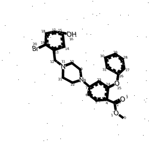 COC(=O)c1ccc(N2CCN(Cc3cc(O)ccc3Br)CC2)cc1Oc1ccccc1